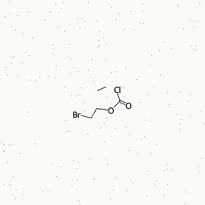 CC.O=C(Cl)OCCBr